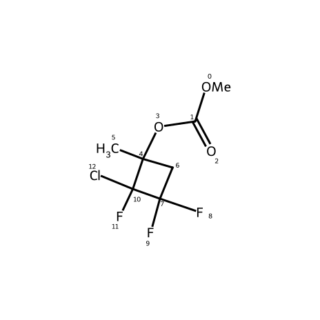 COC(=O)OC1(C)CC(F)(F)C1(F)Cl